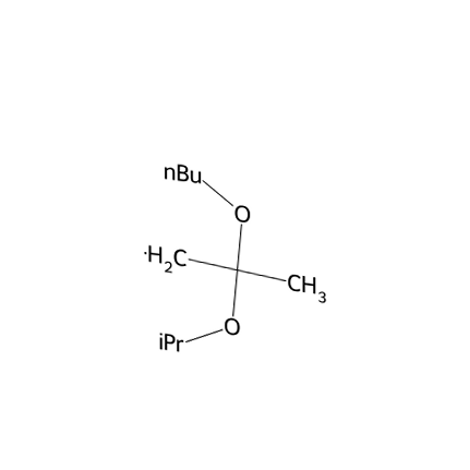 [CH2]C(C)(OCCCC)OC(C)C